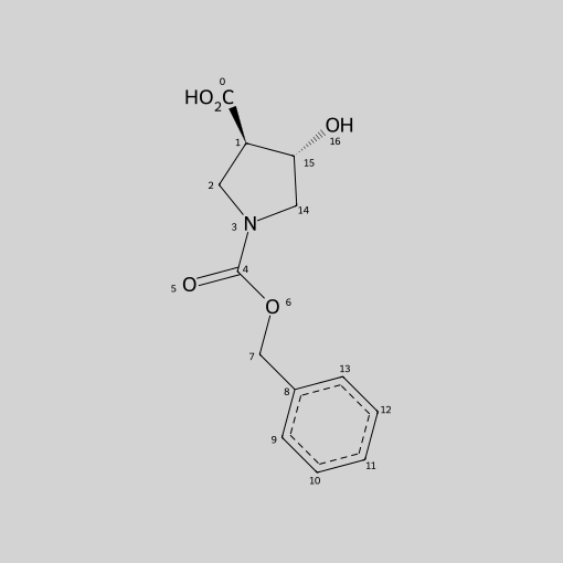 O=C(O)[C@@H]1CN(C(=O)OCc2ccccc2)C[C@H]1O